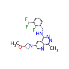 COC1CN(c2cnc3c(C)nnc(NCc4cccc(C(F)F)c4F)c3c2)C1